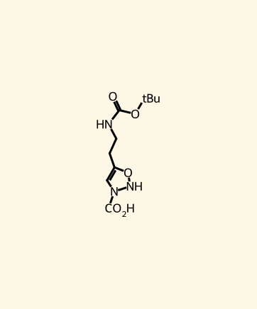 CC(C)(C)OC(=O)NCCC1=CN(C(=O)O)NO1